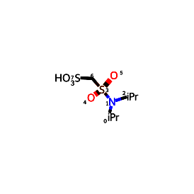 CC(C)N(C(C)C)S(=O)(=O)CS(=O)(=O)O